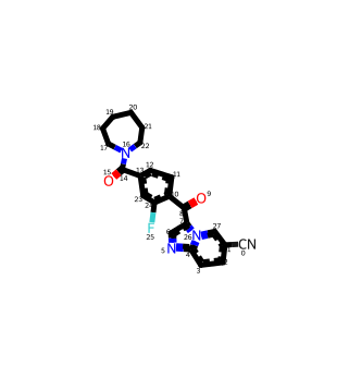 N#Cc1ccc2ncc(C(=O)c3ccc(C(=O)N4CCCCCC4)cc3F)n2c1